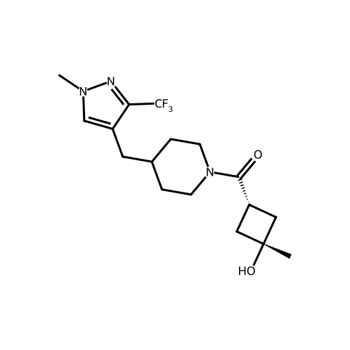 Cn1cc(CC2CCN(C(=O)[C@H]3C[C@@](C)(O)C3)CC2)c(C(F)(F)F)n1